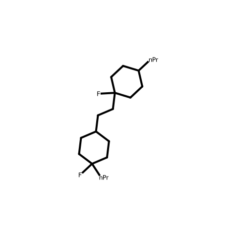 CCCC1CCC(F)(CCC2CCC(F)(CCC)CC2)CC1